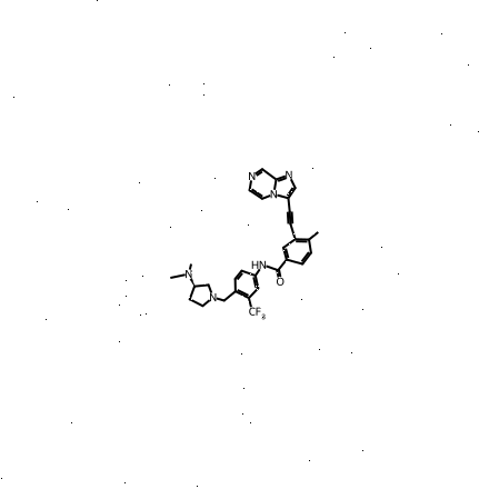 Cc1ccc(C(=O)Nc2ccc(CN3CC[C@@H](N(C)C)C3)c(C(F)(F)F)c2)cc1C#Cc1cnc2cnccn12